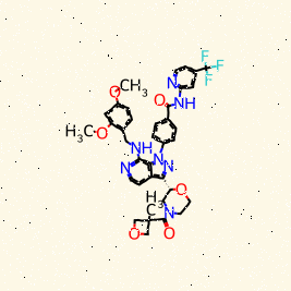 COc1ccc(CNc2nccc3c([C@H]4CN(C(=O)C5(C)COC5)CCO4)nn(-c4ccc(C(=O)Nc5cc(C(F)(F)F)ccn5)cc4)c23)c(OC)c1